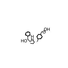 OOCc1ccc(C[C@@H]2CC[C@H]([C@H](O)c3ccccc3)N2)cc1